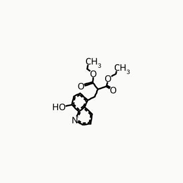 CCOC(=O)C(Cc1ccc(O)c2ncccc12)C(=O)OCC